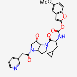 COc1ccc2oc(OC(=O)NC(CC3CC3)C(=O)N3CCC4C3C(=O)CN4C(=O)Cc3cccnc3)cc2c1